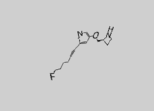 FCCCCC#Cc1cncc(OC[C@@H]2CCN2)c1